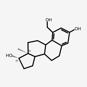 C[C@]12CCC3c4c(CO)cc(O)cc4CCC3C1CC[C@@H]2O